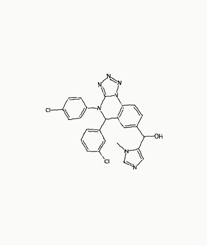 Cn1cncc1C(O)c1ccc2c(c1)C(c1cccc(Cl)c1)N(c1ccc(Cl)cc1)c1nnnn1-2